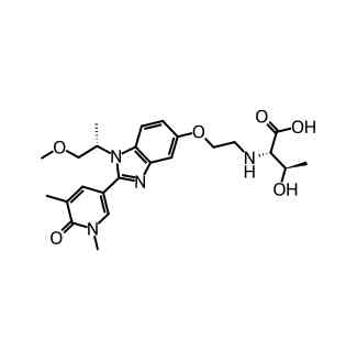 COC[C@H](C)n1c(-c2cc(C)c(=O)n(C)c2)nc2cc(OCCN[C@H](C(=O)O)[C@@H](C)O)ccc21